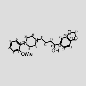 COc1ccccc1N1CCN(CCCC(O)c2ccc3c(c2)OCO3)CC1